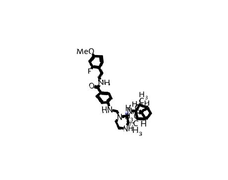 COc1ccc(CCNC(=O)c2ccc(NCN3CCN[C@@H](C)/C3=N\C3C[C@H]4C[C@@H]([C@@H]3C)C4(C)C)cc2)c(F)c1